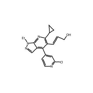 CCn1ncc2c(-c3ccnc(Cl)c3)c(C=CCO)c(C3CC3)nc21